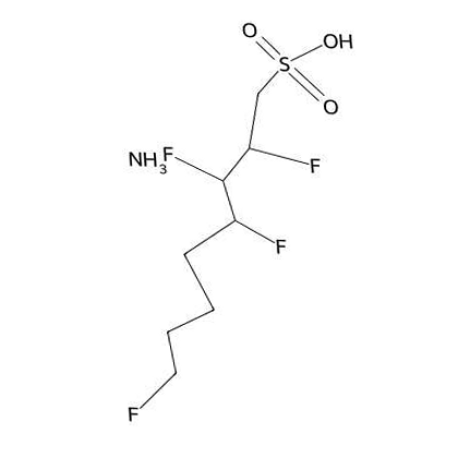 N.O=S(=O)(O)CC(F)C(F)C(F)CCCCF